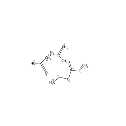 C=C(C)C.C=CC(=O)OCC.CC(=O)O